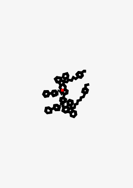 C=Cc1ccc(CCCCCC2(C3=CC=CCC3)C(=C/c3ccc(-c4ccc(N(c5ccc(C6=CC=CCC6)cc5)c5ccc6c(c5)C(CCCCCCCc5ccc(CC)cc5)(c5ccccc5)C5=C6CCC=C5)cc4)cc3)/C(=C\C=N/c3ccc(-c4ccccc4)cc3)c3ccccc32)cc1